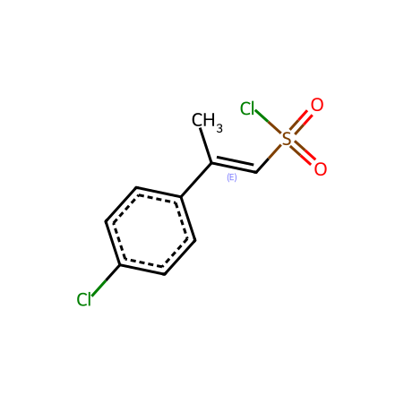 C/C(=C\S(=O)(=O)Cl)c1ccc(Cl)cc1